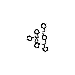 ClC(Cc1ccc(OCc2ccccc2)cc1)c1ccccc1.O=P(Oc1ccccc1)(Oc1ccccc1)Oc1ccccc1